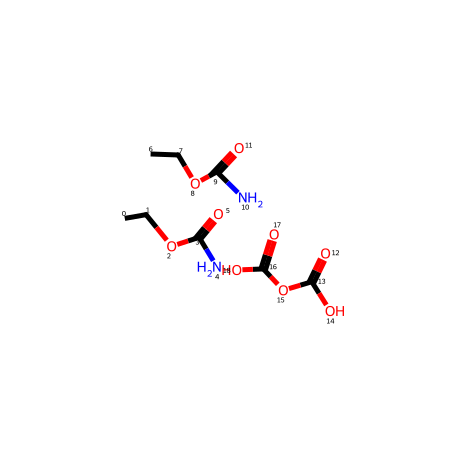 CCOC(N)=O.CCOC(N)=O.O=C(O)OC(=O)O